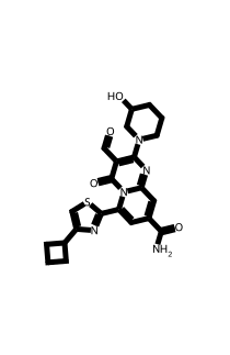 NC(=O)c1cc(-c2nc(C3CCC3)cs2)n2c(=O)c(C=O)c(N3CCCC(O)C3)nc2c1